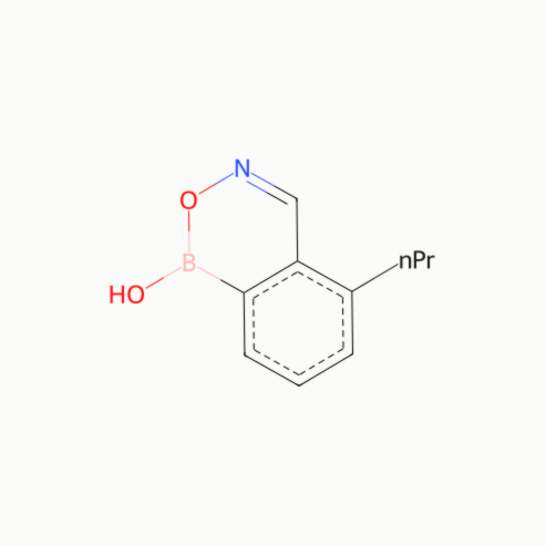 CCCc1cccc2c1C=NOB2O